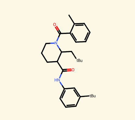 Cc1ccccc1C(=O)N1CCCC(C(=O)Nc2cccc(C(C)(C)C)c2)C1CC(C)(C)C